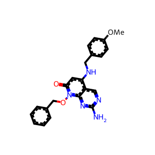 COc1ccc(CNc2cc(=O)n(OCc3ccccc3)c3nc(N)ncc23)cc1